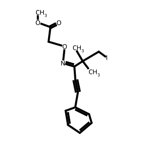 COC(=O)CON=C(C#Cc1ccccc1)C(C)(C)CI